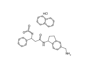 Cl.NCc1ccc2c(c1)CCC2NC(=O)CC(N=S(=O)=O)c1ccccc1.c1ccc2ccccc2c1